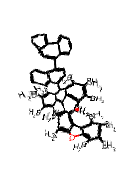 Bc1c(B)c(B)c2c(oc3c(B)c(B)c(-c4c5c(B)c(B)c(B)c(B)c5c(-c5ccc(-c6cc7ccccc7c7ccccc67)c6ccccc56)c5c(B)c(B)c(B)c(B)c45)c(B)c32)c1B